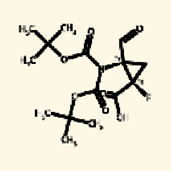 CC(C)(C)OC(=O)N(C(=O)OC(C)(C)C)[C@@]1(C=O)C[C@]1(F)C(=O)O